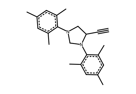 C#CC1CN(c2c(C)cc(C)cc2C)CN1c1c(C)cc(C)cc1C